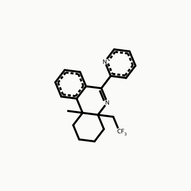 CC12CCCCC1(CC(F)(F)F)N=C(c1ccccn1)c1ccccc12